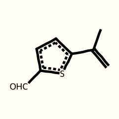 C=C(C)c1ccc(C=O)s1